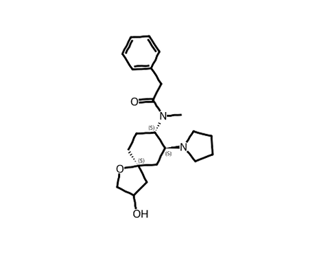 CN(C(=O)Cc1ccccc1)[C@H]1CC[C@@]2(CC(O)CO2)C[C@@H]1N1CCCC1